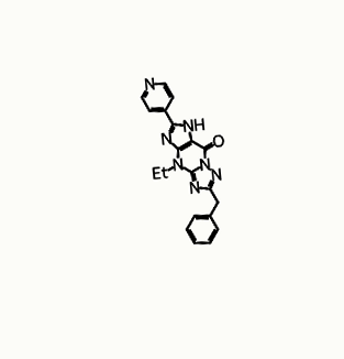 CCn1c2nc(-c3ccncc3)[nH]c2c(=O)n2nc(Cc3ccccc3)nc12